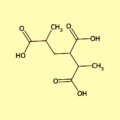 CC(CC(C(=O)O)C(C)C(=O)O)C(=O)O